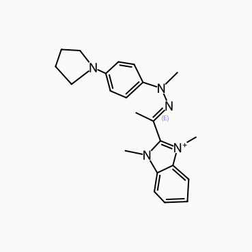 C/C(=N\N(C)c1ccc(N2CCCC2)cc1)c1n(C)c2ccccc2[n+]1C